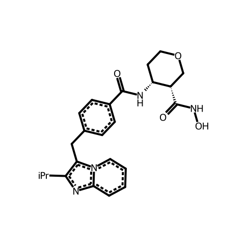 CC(C)c1nc2ccccn2c1Cc1ccc(C(=O)N[C@@H]2CCOC[C@@H]2C(=O)NO)cc1